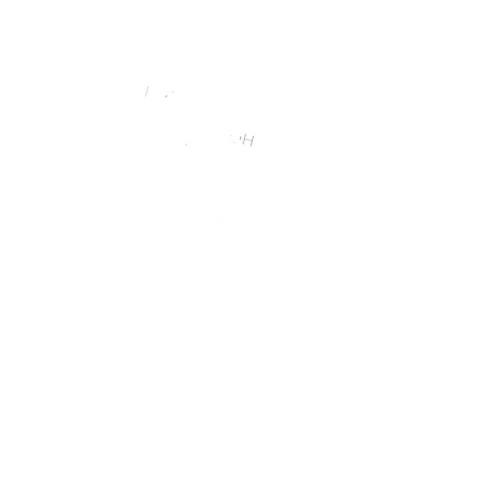 C=C(O)Cc1ccc(-c2ccccc2)cc1